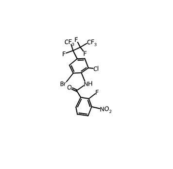 O=C(Nc1c(Cl)cc(C(F)(C(F)(F)F)C(F)(F)C(F)(F)F)cc1Br)c1cccc([N+](=O)[O-])c1F